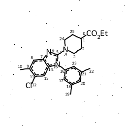 CCOC(=O)C1CCN(c2nc3cc(C)c(Cl)cc3n2-c2cc(C)cc(C)c2)CC1